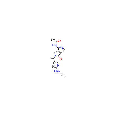 Cc1cc(C(C)N2Cc3c(ccnc3NC(=O)C(C)C)C2=O)cnc1NCC(F)(F)F